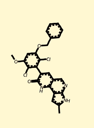 COc1cc(OCc2ccccc2)c(Cl)c(-c2cc3cnc4[nH]c(C)cc4c3[nH]c2=O)c1Cl